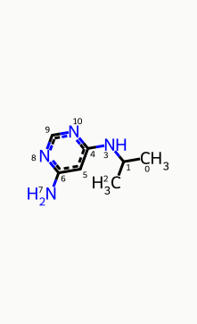 CC(C)Nc1cc(N)ncn1